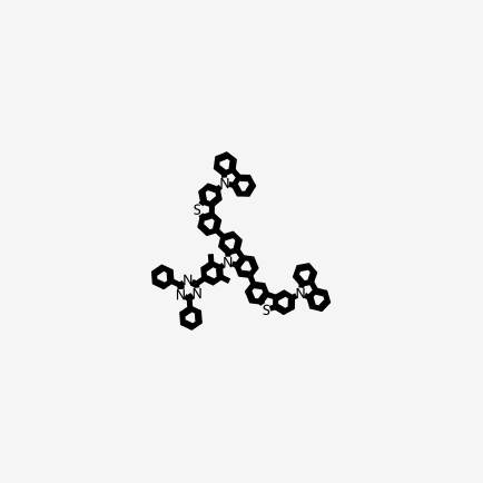 Cc1cc(-c2nc(-c3ccccc3)nc(-c3ccccc3)n2)cc(C)c1-n1c2cc(-c3ccc4sc5ccc(-n6c7ccccc7c7ccccc76)cc5c4c3)ccc2c2ccc(-c3ccc4sc5ccc(-n6c7ccccc7c7ccccc76)cc5c4c3)cc21